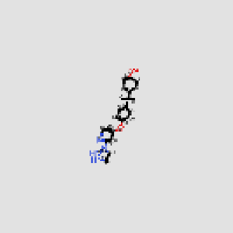 CC(C)(c1ccc(O)cc1)c1ccc(Oc2ccnc(N3C=CNN3)c2)cc1